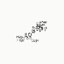 CCCCC[C@@H](C(=O)NCNC(=O)c1ccc(-c2ccc(C(=O)N[C@@H](CC(=O)O)C(=O)O)c(OCC(=O)O)c2)o1)[C@@H](CC)N(C=O)OC(=O)C1(C)CC1